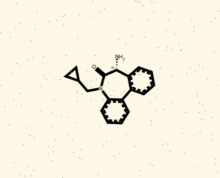 N[C@H]1C(=O)N(CC2CC2)c2ccccc2-c2ccccc21